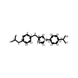 CC(C)Cc1ccc(Cc2cn(-c3ccc(C(C)C)cc3)cn2)cc1